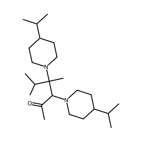 CC(=O)C(N1CCC(C(C)C)CC1)C(C)(C(C)C)N1CCC(C(C)C)CC1